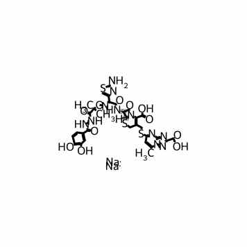 Cc1cc(SCC2=C(C(=O)O)N3C(=O)[C@@H](NC(=O)C(=NOC(C)(C)C(=O)NNC(=O)c4ccc(O)c(O)c4)c4csc(N)n4)[C@H]3SC2)nc2nc(C(=O)O)nn12.[Na].[Na]